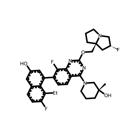 CCc1c(F)ccc2cc(O)cc(-c3ccc4c(N5CCC[C@@](C)(O)C5)nc(OC[C@@]56CCCN5C[C@H](F)C6)nc4c3F)c12